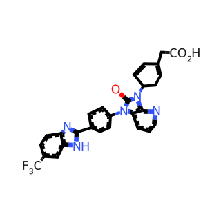 O=C(O)CC1=CCC(n2c(=O)n(-c3ccc(-c4nc5ccc(C(F)(F)F)cc5[nH]4)cc3)c3cccnc32)C=C1